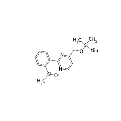 C[S+]([O-])c1ccccc1-c1nccc(CO[Si](C)(C)C(C)(C)C)n1